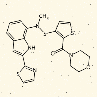 CN(Sc1ccsc1C(=O)N1CCOCC1)c1cccc2cc(-c3nccs3)[nH]c12